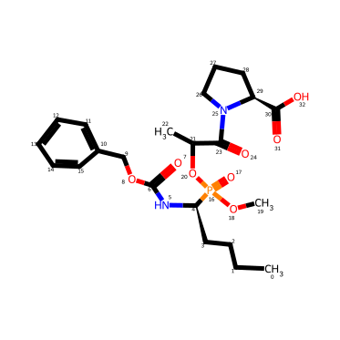 CCCC[C@@H](NC(=O)OCc1ccccc1)P(=O)(OC)OC(C)C(=O)N1CCC[C@H]1C(=O)O